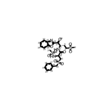 CS(=O)(=O)CC[C@H](NC(=O)C(CS(=O)(=O)Cc1ccccc1)NS(C)(=O)=O)C(=O)c1nc2ccccc2o1